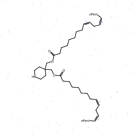 CCCCC/C=C\C/C=C\CCCCCCCC(=O)OCC1(COC(=O)CCCCCCC/C=C\C/C=C\CCCCC)CCNCC1